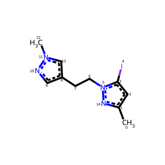 Cc1cc(I)n(CCc2cnn(C)c2)n1